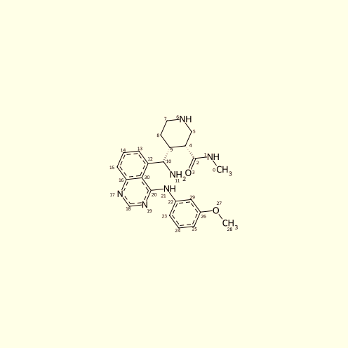 CNC(=O)[C@H]1CNCC[C@H]1C(N)c1cccc2ncnc(Nc3cccc(OC)c3)c12